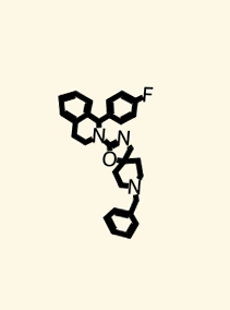 Fc1ccc(C2c3ccccc3CCN2C2=NCC3(CCN(Cc4ccccc4)CC3)O2)cc1